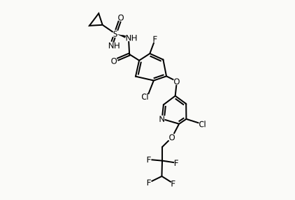 N=[S@](=O)(NC(=O)c1cc(Cl)c(Oc2cnc(OCC(F)(F)C(F)F)c(Cl)c2)cc1F)C1CC1